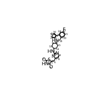 O=C1NC(=O)C(=Cc2ccnc(N[C@H]3CC[C@H](NCc4ccc(F)cc4-c4ccsc4)CC3)n2)S1